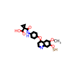 COc1cc2c(Oc3ccc(NC(=O)C4(C(=O)O)CC4)cc3)ccnc2cc1OS